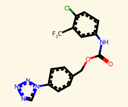 O=C(Nc1ccc(Cl)c(C(F)(F)F)c1)OCc1ccc(-n2cnnn2)cc1